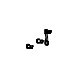 [Co].[Cu].[O]=[Sn]